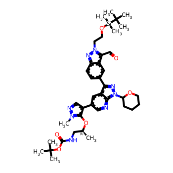 C[C@@H](CNC(=O)OC(C)(C)C)Oc1c(-c2cnc3c(c2)c(-c2ccc4nn(CCO[Si](C)(C)C(C)(C)C)c(C=O)c4c2)nn3C2CCCCO2)cnn1C